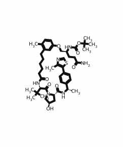 Cc1ccc(OC[C@H](CCC(N)=O)NC(=O)OC(C)(C)C)cc1CCCCCC(=O)N[C@H](C(=O)N1C[C@H](O)C[C@H]1C(=O)N[C@@H](C)c1ccc(-c2scnc2C)cc1)C(C)(C)C